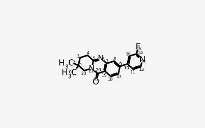 CC1(C)CCc2nc3cc(-c4ccnc(F)c4)ccc3c(=O)n2C1